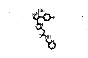 CC(C)(C)n1ncc(-c2nc(CC(=O)NCc3ccccn3)cs2)c1-c1ccc(F)cc1